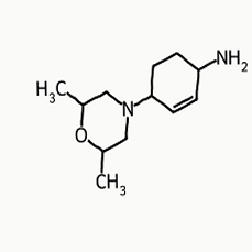 CC1CN(C2C=CC(N)CC2)CC(C)O1